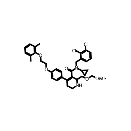 COCOCC1NCCC(c2ccc(OCCOc3c(C)cccc3C)cc2)=C1C(=O)N(Cc1cccc(Cl)c1Cl)C1CC1